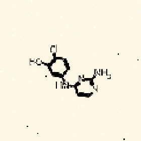 Nc1nccc(Nc2ccc(Cl)c(O)c2)n1